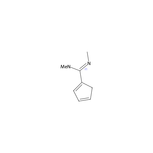 C/N=C(\NC)C1=CC=CC1